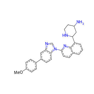 COc1ccc(-c2ccc3c(c2)ncn3-c2ccc3cccc(C4CC(N)CCN4)c3n2)cc1